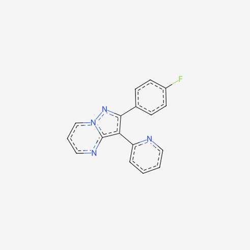 Fc1ccc(-c2nn3cccnc3c2-c2ccccn2)cc1